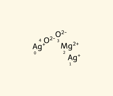 [Ag+].[Ag+].[Mg+2].[O-2].[O-2]